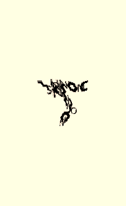 CCCCSc1nc(Nc2ccc(N(CC)CC)cc2)cc(N2CCN(C(=O)c3ccncc3)CC2)n1